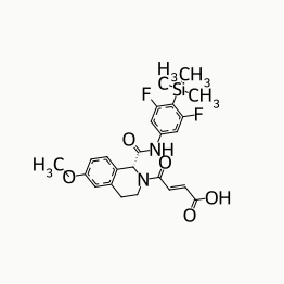 COc1ccc2c(c1)CCN(C(=O)C=CC(=O)O)[C@H]2C(=O)Nc1cc(F)c([Si](C)(C)C)c(F)c1